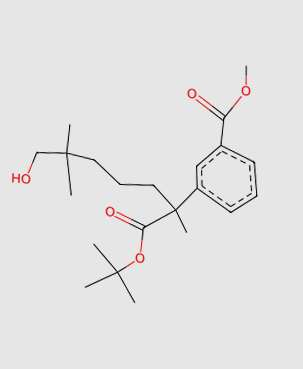 COC(=O)c1cccc(C(C)(CCCC(C)(C)CO)C(=O)OC(C)(C)C)c1